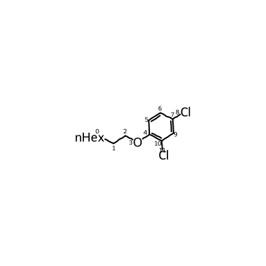 [CH2]CCCCCCCOc1ccc(Cl)cc1Cl